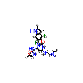 CCN(C)CCN(C)c1cc(Nc2ncc(C)o2)nc(Oc2c(F)cc3[nH]c(C)cc3c2F)n1